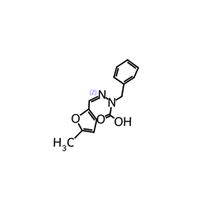 Cc1ccc(/C=N\N(Cc2ccccc2)C(=O)O)o1